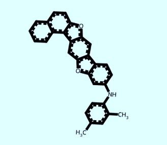 Cc1ccc(Nc2ccc3c(c2)oc2cc4c(cc23)oc2ccc3ccccc3c24)c(C)c1